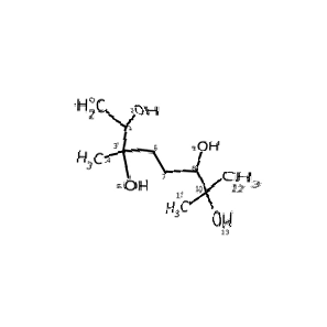 [CH2]C(O)C(C)(O)CCC(O)C(C)(C)O